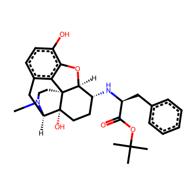 CN1CC[C@]23c4c5ccc(O)c4O[C@H]2[C@H](N[C@@H](Cc2ccccc2)C(=O)OC(C)(C)C)CC[C@@]3(O)[C@H]1C5